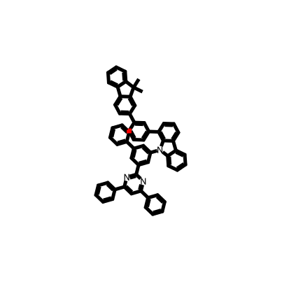 CC1(C)c2ccccc2-c2ccc(-c3cccc(-c4cccc5c6ccccc6n(-c6cc(-c7ccccc7)cc(-c7nc(-c8ccccc8)cc(-c8ccccc8)n7)c6)c45)c3)cc21